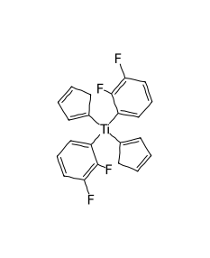 Fc1ccc[c]([Ti]([C]2=CC=CC2)([C]2=CC=CC2)[c]2cccc(F)c2F)c1F